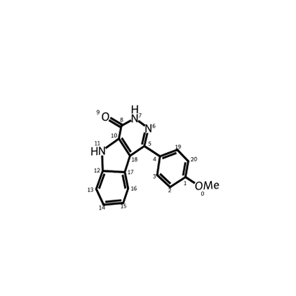 COc1ccc(-c2n[nH]c(=O)c3[nH]c4ccccc4c23)cc1